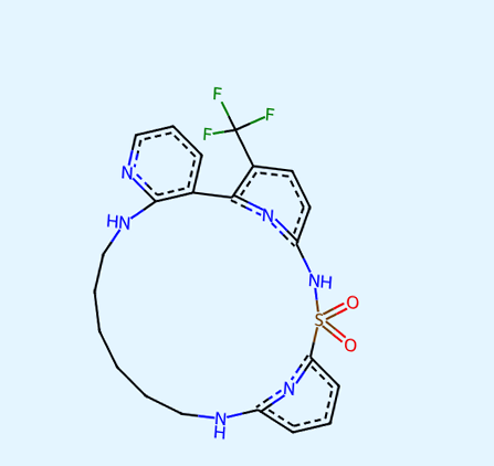 O=S1(=O)Nc2ccc(C(F)(F)F)c(n2)-c2cccnc2NCCCCCCNc2cccc1n2